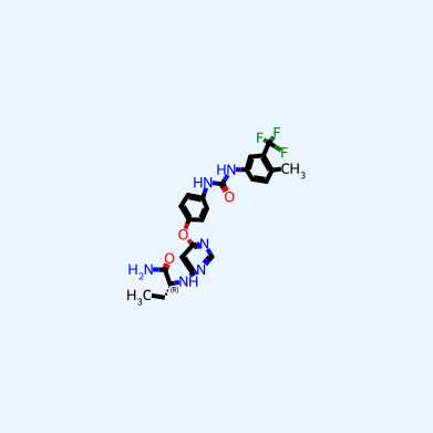 CC[C@@H](Nc1cc(Oc2ccc(NC(=O)Nc3ccc(C)c(C(F)(F)F)c3)cc2)ncn1)C(N)=O